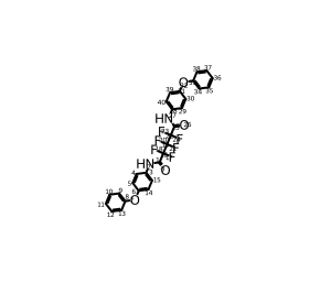 O=C(Nc1ccc(Oc2ccccc2)cc1)C(F)(F)C(F)(F)C(F)(F)C(=O)Nc1ccc(Oc2ccccc2)cc1